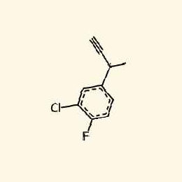 C#C[C](C)c1ccc(F)c(Cl)c1